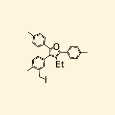 CCc1c(-c2ccc(C)cc2)oc(-c2ccc(C)cc2)c1-c1ccc(C)c(CI)c1